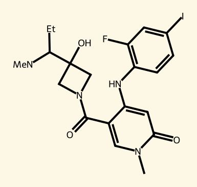 CCC(NC)C1(O)CN(C(=O)c2cn(C)c(=O)cc2Nc2ccc(I)cc2F)C1